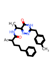 CC(=O)C(CCCc1ccccc1)C(=O)NC(C)c1nnc(Cc2ccc(C)cc2)[nH]c1=O